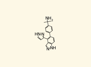 CC(C)(N)c1ccc(-c2ccc3[nH]ncc3c2-c2cc[nH]n2)cc1